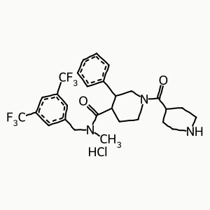 CN(Cc1cc(C(F)(F)F)cc(C(F)(F)F)c1)C(=O)C1CCN(C(=O)C2CCNCC2)CC1c1ccccc1.Cl